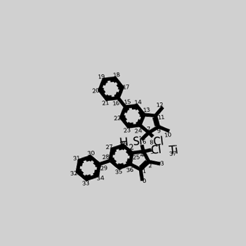 CC1=C(C)C(Cl)([SiH2]C2(Cl)C(C)=C(C)c3cc(-c4ccccc4)ccc32)c2ccc(-c3ccccc3)cc21.[Ti]